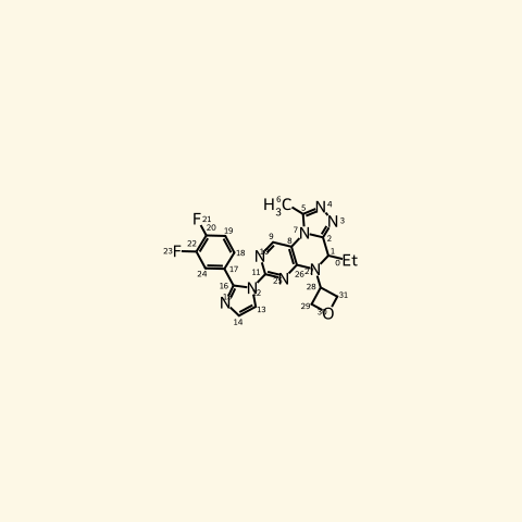 CCC1c2nnc(C)n2-c2cnc(-n3ccnc3-c3ccc(F)c(F)c3)nc2N1C1COC1